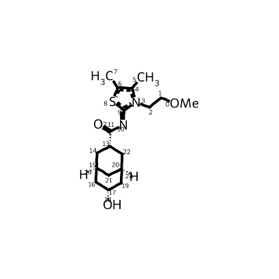 COCCn1c(C)c(C)s/c1=N\C(=O)[C@H]1C[C@@H]2C[C@@H](O)C[C@@H](C2)C1